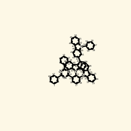 c1ccc(-c2nc(-c3ccccc3)nc(-c3cccc(-n4c5ccccc5c5ccccc54)c3-n3c4ccccc4c4c(-c5ccc6c7ccccc7n(-c7ccccc7)c6c5)cccc43)n2)cc1